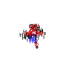 CC[C@H]1OC(=O)[C@H](C)[C@@H](O[C@H]2C[C@@](C)(OC)[C@@H](O)[C@H](C)O2)[C@H](C)[C@@H](O[C@@H]2O[C@H](C)C[C@H](N(C)C)[C@H]2O)[C@](C)(O)C[C@@H](C)CN(CCCNC(=S)Nc2ccc(OCc3ccccc3)cc2)[C@H](C)[C@@H](O)[C@]1(C)O